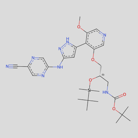 COc1cncc(OC[C@H](CNC(=O)OC(C)(C)C)O[Si](C)(C)C(C)(C)C)c1-c1cc(Nc2cnc(C#N)cn2)n[nH]1